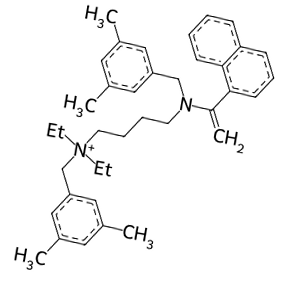 C=C(c1cccc2ccccc12)N(CCCC[N+](CC)(CC)Cc1cc(C)cc(C)c1)Cc1cc(C)cc(C)c1